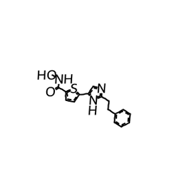 O=C(NO)c1ccc(-c2cnc(CCc3ccccc3)[nH]2)s1